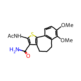 COc1ccc2c(c1OC)CCCc1c-2sc(NC(C)=O)c1C(N)=O